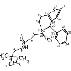 CC(C)(C)CNC(=O)CCC(=O)N1CCc2sccc2C1c1ccccc1